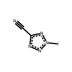 N#Cc1nnn(I)n1